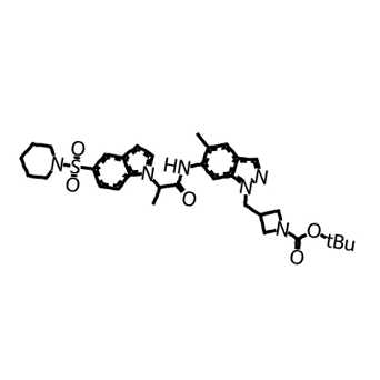 Cc1cc2cnn(CC3CN(C(=O)OC(C)(C)C)C3)c2cc1NC(=O)C(C)n1ccc2cc(S(=O)(=O)N3CCCCC3)ccc21